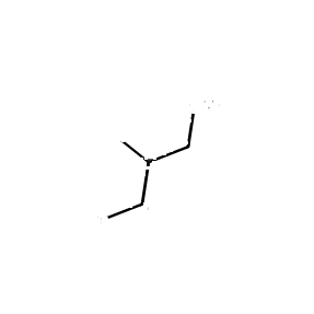 COCC(F)CC(C)C